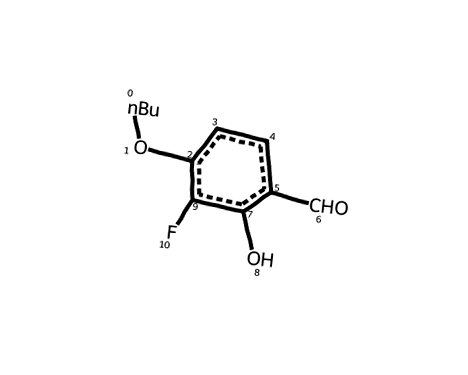 CCCCOc1ccc(C=O)c(O)c1F